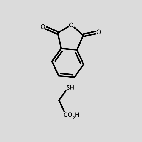 O=C(O)CS.O=C1OC(=O)c2ccccc21